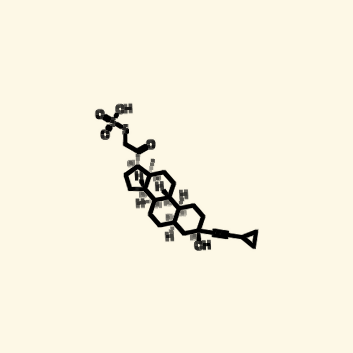 C[C@]12CC[C@H]3[C@@H](CC[C@@H]4C[C@@](O)(C#CC5CC5)CC[C@@H]43)[C@@H]1CC[C@@H]2C(=O)CSS(=O)(=O)O